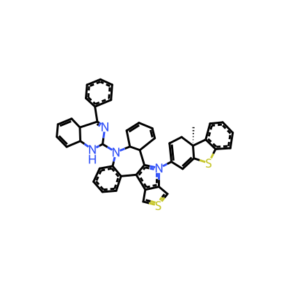 C[C@@]12CC=C(n3c4c(c5c3C3C=CC=CC3N(C3N=C(c6ccccc6)C6C=CC=CC6N3)c3ccccc3-5)C=S=C4)C=C1Sc1ccccc12